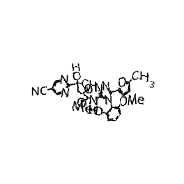 COc1cccc(OC)c1-n1c(NS(=O)(=O)C[C@@](C)(O)c2ncc(C#N)cn2)nnc1-c1ccc(C)o1